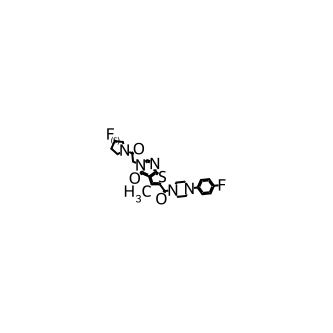 Cc1c(C(=O)N2CCN(c3ccc(F)cc3)CC2)sc2ncn(CC(=O)N3CC[C@H](F)C3)c(=O)c12